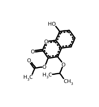 CC(=O)Oc1c(OC(C)C)c2cccc(O)c2oc1=O